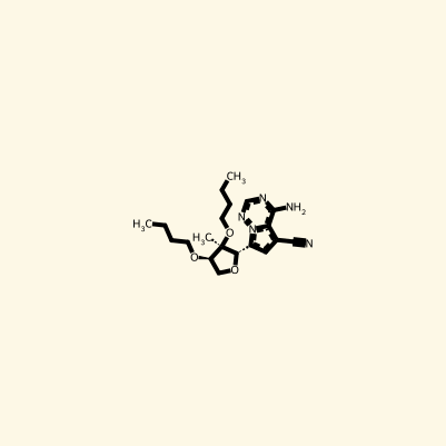 CCCCO[C@@H]1CO[C@@H](c2cc(C#N)c3c(N)ncnn23)[C@]1(C)OCCCC